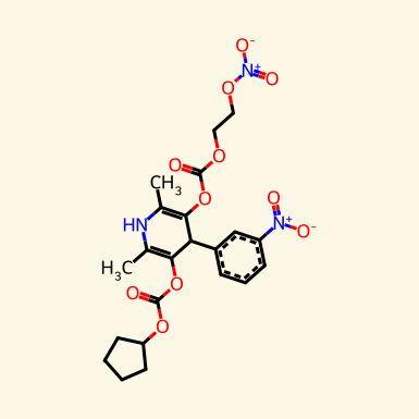 CC1=C(OC(=O)OCCO[N+](=O)[O-])C(c2cccc([N+](=O)[O-])c2)C(OC(=O)OC2CCCC2)=C(C)N1